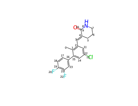 Cc1c(/C=C2\CCCNC2=O)cc(Cl)cc1-c1ccc(F)c(F)c1